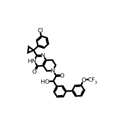 O=C(C(O)c1cccc(-c2cccc(OC(F)(F)F)c2)c1)N1CCc2nc(C3(c4cccc(Cl)c4)CC3)[nH]c(=O)c2C1